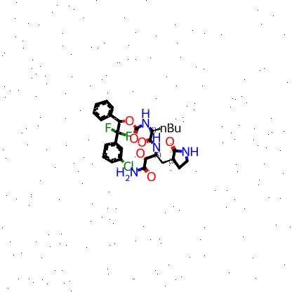 CCCC[C@H](NC(=O)OC(c1ccccc1)C(F)(F)c1cccc(Cl)c1)C(=O)N[C@@H](C[C@@H]1CCNC1=O)C(=O)C(N)=O